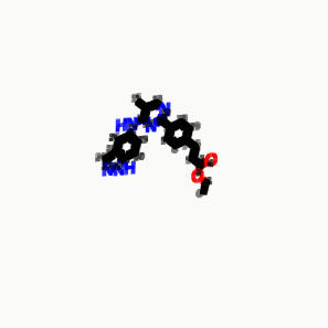 CCOC(=O)C=Cc1ccc(-c2ncc(C)c(Nc3ccc4[nH]ncc4c3)n2)cc1